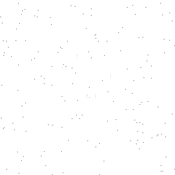 O=S(=O)(NS(=O)(=O)C(F)(F)C(F)(F)C(F)(F)C(F)(F)F)C(F)(F)C(F)F.[LiH]